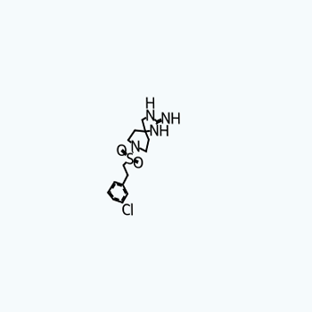 N=C1NCC2(CCN(S(=O)(=O)CCc3cccc(Cl)c3)CC2)N1